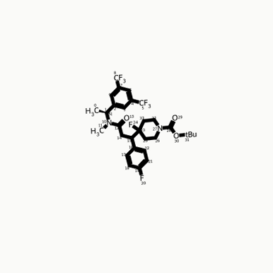 C[C@@H](c1cc(C(F)(F)F)cc(C(F)(F)F)c1)N(C)C(=O)CC(c1ccc(F)cc1)C1(F)CCN(C(=O)OC(C)(C)C)CC1